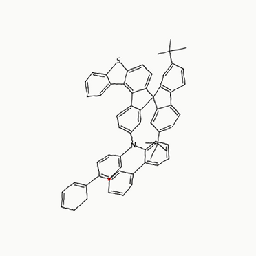 CC(C)(C)c1ccc2c(c1)C1(c3cc(C(C)(C)C)ccc3-2)c2cc(N(c3ccc(C4=CC=CCC4)cc3)c3ccccc3-c3ccccc3)ccc2-c2c1ccc1sc3ccccc3c21